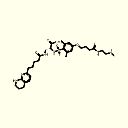 COC(=O)[C@@H](CNC(=O)CCCCc1ccc2c(n1)NCCC2)NS(=O)(=O)c1c(C)cc(OCCCC(=O)NCCNI)cc1C